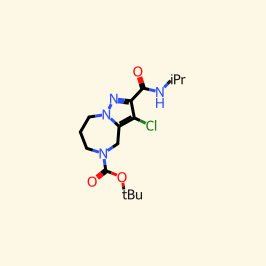 CC(C)NC(=O)c1nn2c(c1Cl)CN(C(=O)OC(C)(C)C)CCC2